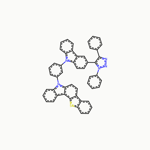 c1ccc(-c2nnn(-c3ccccc3)c2-c2ccc3c(c2)c2ccccc2n3-c2cccc(-n3c4ccccc4c4c5sc6ccccc6c5ccc43)c2)cc1